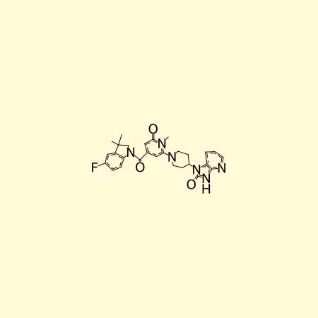 Cn1c(N2CCC(n3c(=O)[nH]c4ncccc43)CC2)cc(C(=O)N2CC(C)(C)c3cc(F)ccc32)cc1=O